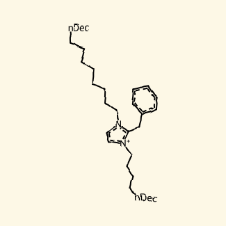 CCCCCCCCCCCCCCCCCCn1cc[n+](CCCCCCCCCCCCCC)c1Cc1ccccc1